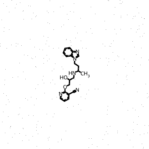 CC(CCn1cnc2ccccc21)NCC(O)COc1ncccc1C#N